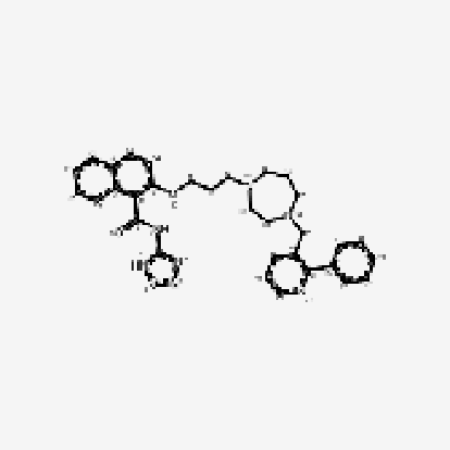 O=C(Nc1nnn[nH]1)c1c(OCCCN2CCCN(Cc3cccnc3-c3ccccc3)CC2)ccc2ccccc12